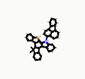 CC1(C)c2ccccc2-c2c1c1c3ccccc3sc1c1c2c2ccccc2n1-c1ccc2c3c(cccc13)-c1ccccc1-2